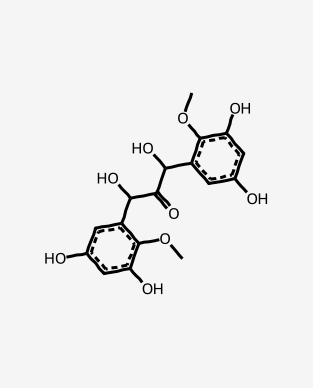 COc1c(O)cc(O)cc1C(O)C(=O)C(O)c1cc(O)cc(O)c1OC